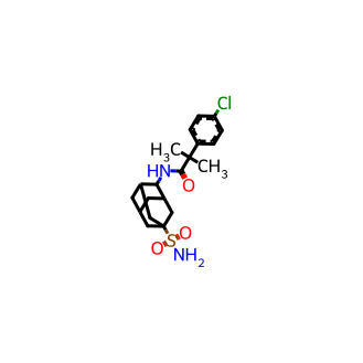 CC(C)(C(=O)NC1C2CC3CC1CC(S(N)(=O)=O)(C3)C2)c1ccc(Cl)cc1